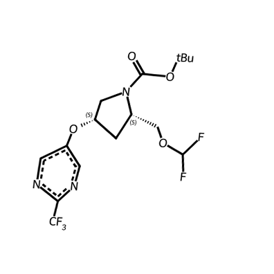 CC(C)(C)OC(=O)N1C[C@@H](Oc2cnc(C(F)(F)F)nc2)C[C@H]1COC(F)F